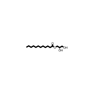 CCCCCCCCCCCC(=O)OC[C@@H](O)CO